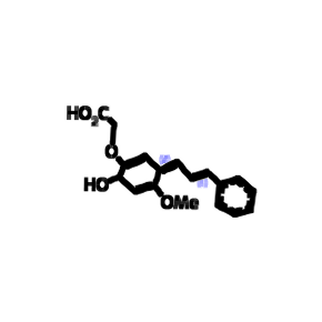 COC1=CC(O)C(OCC(=O)O)=C/C1=C/C=C/c1ccccc1